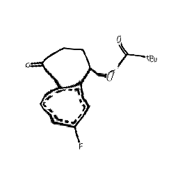 CC(C)(C)C(=O)OC1CCC(=O)c2ccc(F)cc21